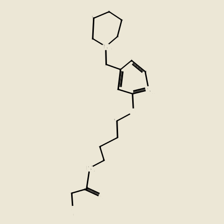 O=C(CCl)NCCCCOc1cc(CN2CCCCC2)ccn1